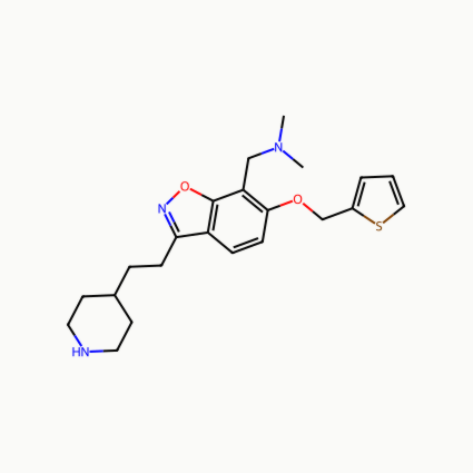 CN(C)Cc1c(OCc2cccs2)ccc2c(CCC3CCNCC3)noc12